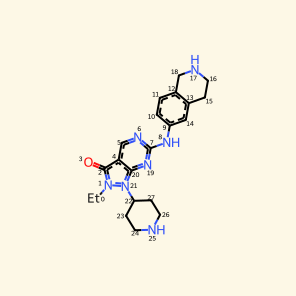 CCn1c(=O)c2cnc(Nc3ccc4c(c3)CCNC4)nc2n1C1CCNCC1